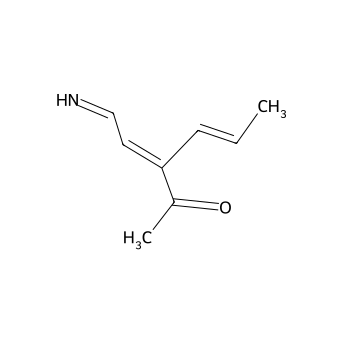 C/C=C/C(=C\C=N)C(C)=O